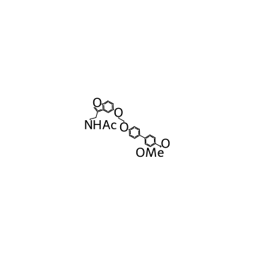 COC(=O)c1ccc(-c2ccc(OCCOc3ccc4occ(CCNC(C)=O)c4c3)cc2)cc1